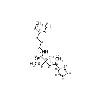 CCN(CC)CCCNC(=O)C(C)(CC)CC(C)n1ccnc1